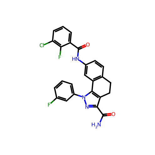 NC(=O)c1nn(-c2cccc(F)c2)c2c1CCc1ccc(NC(=O)c3cccc(Cl)c3F)cc1-2